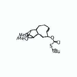 COC1(OC)C2CCC1C1CC(OC(=O)SC(C)(C)C)/C=C/CCC12